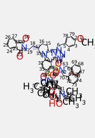 COc1ccc(Cn2nnc(-c3c(N4CCC/C(=C/CN5C(=O)c6ccccc6C5=O)C4)ccc(S(=O)(=O)NC[C@@H](CN(C(=O)O)C(C)(C)C)O[Si](C)(C)C(C)(C)C)c3S(=O)(=O)N(Cc3ccccc3)Cc3ccccc3)n2)cc1